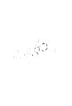 CC(C)(C)NC(=O)c1c[nH]c2c(Cl)c(O)c(O)cc2c1=O